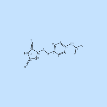 CC(C)Oc1ccc(CCC2SC(=O)NC2=O)cc1